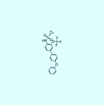 O=S(=O)(Nc1ccc(-c2ccc(Oc3ccccc3)cc2)cc1OC(F)(F)F)C1CC1